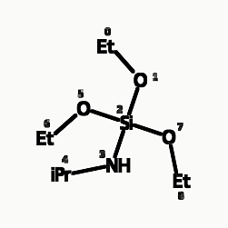 CCO[Si](NC(C)C)(OCC)OCC